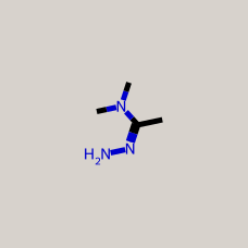 CC(=NN)N(C)C